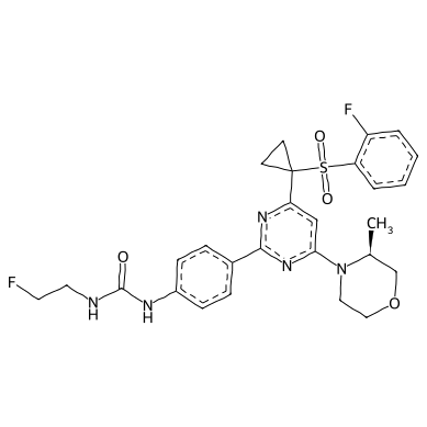 C[C@H]1COCCN1c1cc(C2(S(=O)(=O)c3ccccc3F)CC2)nc(-c2ccc(NC(=O)NCCF)cc2)n1